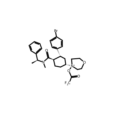 C[C@@H](c1ccccc1)N(C)C(=O)[C@@H]1CC[C@@H]([N+]2(OC(=O)C(F)(F)F)CCOCC2)C[C@H]1c1ccc(Br)cc1